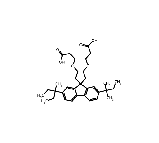 CCC(C)(C)c1ccc2c(c1)C(CCOCCC(=O)O)(CCOCCC(=O)O)c1cc(C(C)(CC)CC)ccc1-2